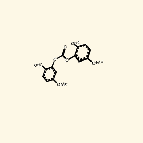 COc1ccc(C=O)c(OC(=O)Oc2cc(OC)ccc2C=O)c1